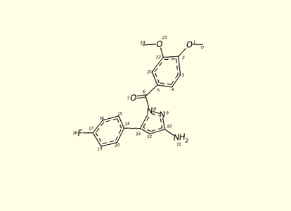 COc1ccc(C(=O)n2nc(N)cc2-c2ccc(F)cc2)cc1OC